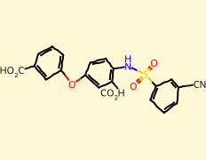 N#Cc1cccc(S(=O)(=O)Nc2ccc(Oc3cccc(C(=O)O)c3)cc2C(=O)O)c1